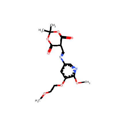 COCCOc1cc(/N=C/C2C(=O)OC(C)(C)OC2=O)cnc1OC